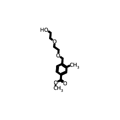 COC(=O)c1ccc(COCCOCCO)c(C)c1